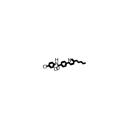 CCCCCc1ccc(-c2ccc(C(=O)Nc3ccc(Cl)cc3Cl)cc2)nc1